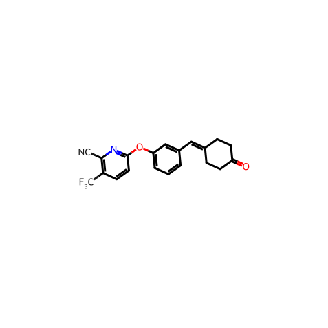 N#Cc1nc(Oc2cccc(C=C3CCC(=O)CC3)c2)ccc1C(F)(F)F